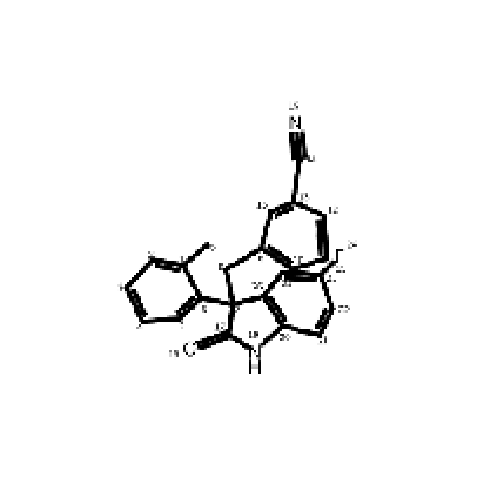 Cc1ccccc1C1(Cc2cccc(C#N)c2)C(=O)Nc2ccc(F)cc21